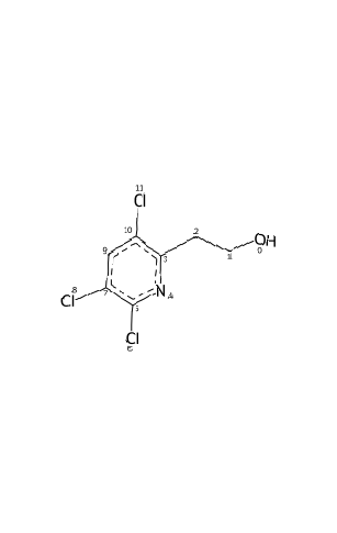 OCCc1nc(Cl)c(Cl)cc1Cl